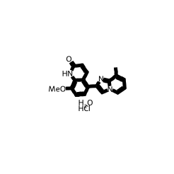 COc1ccc(-c2cn3cccc(C)c3n2)c2ccc(=O)[nH]c12.Cl.O